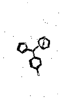 Clc1ccc(C(c2cccs2)N2CCN3CCC2CC3)cc1